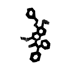 COc1ccc2c(c1OCc1ccccc1)CC(C(=O)O)N(C(=O)C(c1ccccc1)c1ccccc1)C2